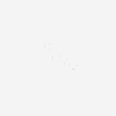 CCOC(=O)C(Cc1ccc(F)cc1)NC(=O)c1cc2cc(Cl)ncc2[nH]1